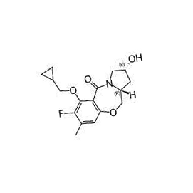 Cc1cc2c(c(OCC3CC3)c1F)C(=O)N1C[C@H](O)C[C@@H]1CO2